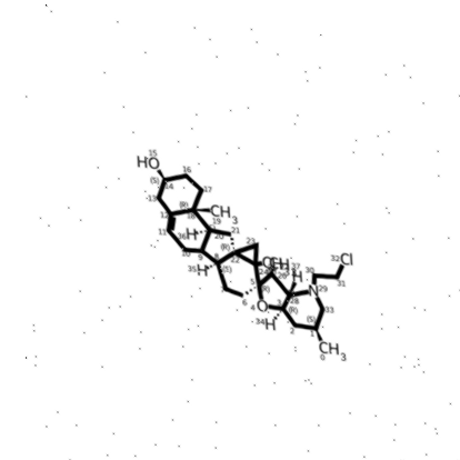 C[C@H]1C[C@H]2O[C@]3(CC[C@H]4C5CC=C6C[C@@H](O)CC[C@]6(C)[C@H]5C[C@@]45CC53C)[C@H](C)[C@@H]2N(CCCl)C1